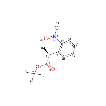 C[C@H](C(=O)OC(C)(C)C)c1ccccc1[N+](=O)[O-]